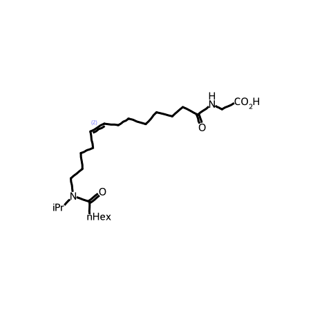 CCCCCCC(=O)N(CCCC/C=C\CCCCCCC(=O)NCC(=O)O)C(C)C